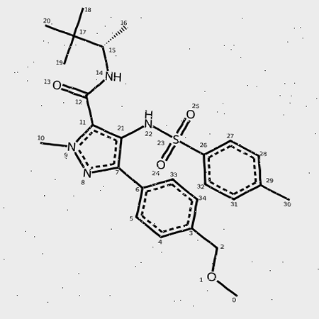 COCc1ccc(-c2nn(C)c(C(=O)N[C@@H](C)C(C)(C)C)c2NS(=O)(=O)c2ccc(C)cc2)cc1